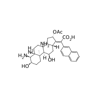 CC(=O)O[C@H]1C[C@@]2(C)[C@@H](C[C@@H](O)[C@@H]3[C@]2(N)CC[C@@]2(N)[C@H](N)[C@H](O)CC[C@]32C)/C1=C(/C(=O)O)c1ccc2ccccc2c1